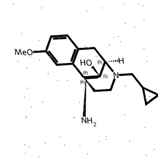 COc1ccc2c(c1)[C@]13CCN(CC4CC4)[C@H](C2)[C@]1(O)CC[C@@H](N)C3